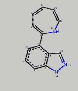 C1=CC=C(c2cccc3c2C=N[N]3)NC=C1